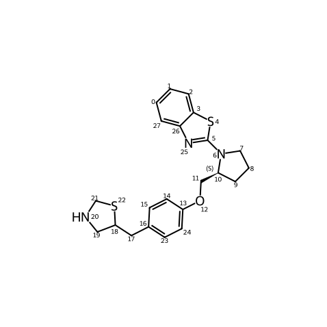 c1ccc2sc(N3CCC[C@H]3COc3ccc(CC4CNCS4)cc3)nc2c1